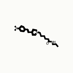 CCCNC(=O)CCCCC[n+]1ccc(C=Cc2ccc(N(C)C)cc2)cc1